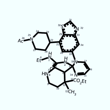 CCNC(=O)NC1(C2CNCCC2(C)C(=O)OCC)N=CC=CN1c1cc(C2CCN(C(C)=O)CC2)c2scnc2c1